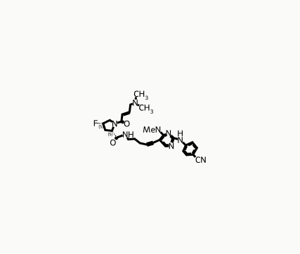 CNc1nc(Nc2ccc(C#N)cc2)ncc1C#CCCCNC(=O)[C@@H]1C[C@H](F)CN1C(=O)C=CCN(C)C